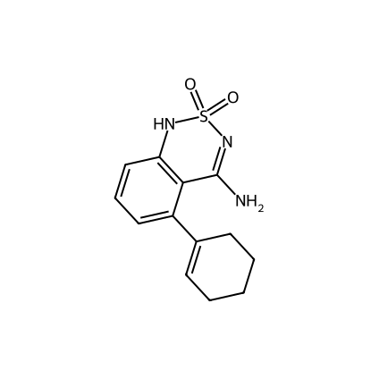 NC1=NS(=O)(=O)Nc2cccc(C3=CCCCC3)c21